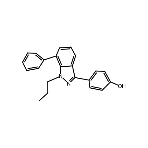 CCCn1nc(-c2ccc(O)cc2)c2cccc(-c3ccccc3)c21